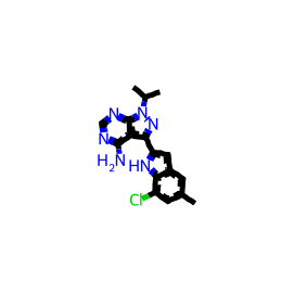 Cc1cc(Cl)c2[nH]c(-c3nn(C(C)C)c4ncnc(N)c34)cc2c1